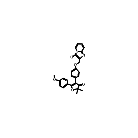 COc1ccc(C2=C(c3ccc(OCc4nc5ccccn5c4Cl)cc3)C(=O)C(C)(C)O2)cc1